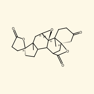 CC12C[C@H]3O[C@@]34C(C3C[C@]5(CC(=O)CCC54C)OC3=O)C1CC[C@@]21CCC(=O)O1